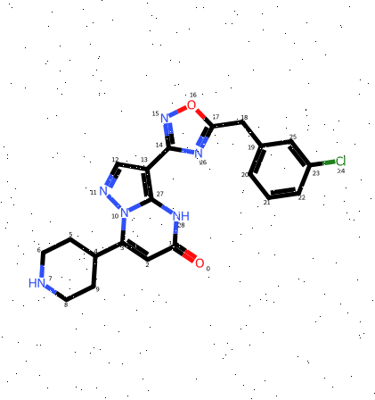 O=c1cc(C2CCNCC2)n2ncc(-c3noc(Cc4cccc(Cl)c4)n3)c2[nH]1